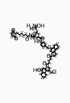 NC(O)NCCC[C@H](NC(=O)CNC(=O)CCCCCN1C(=O)C=CC1=O)C(=O)Nc1ccc(COc2cc3c(c4ccccc24)CCN3C(=O)CCCC(=O)N2C[C@@H](CCl)c3c2cc(O)c2ccccc32)cc1